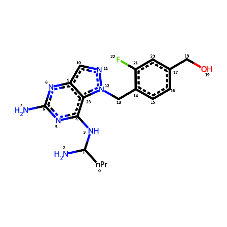 CCCC(N)Nc1nc(N)nc2cnn(Cc3ccc(CO)cc3F)c12